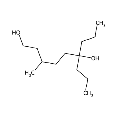 CCCC(O)(CCC)CCC(C)CCO